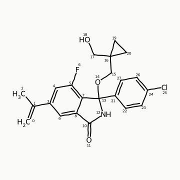 C=C(C)c1cc(F)c2c(c1)C(=O)NC2(OCC1(CO)CC1)c1ccc(Cl)cc1